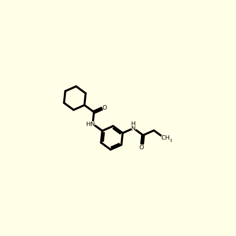 CCC(=O)Nc1cccc(NC(=O)C2CCCCC2)c1